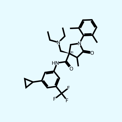 CCN(CC)C[C@@]1(C(=O)Nc2cc(C3CC3)cc(C(F)(F)F)c2)CN(c2c(C)cccc2C)C(=O)C1C